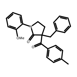 COc1ccccc1N1CCC(Cc2ccccc2)(C(=O)c2ccc(C)cc2)C1=O